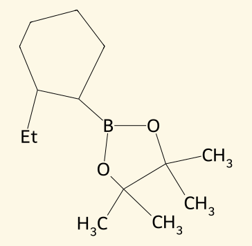 CCC1CCCCC1B1OC(C)(C)C(C)(C)O1